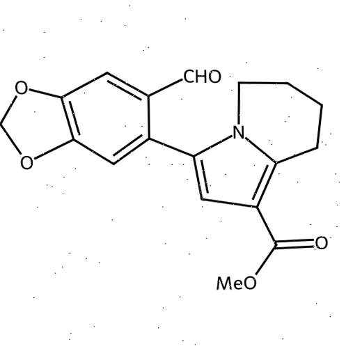 COC(=O)c1cc(-c2cc3c(cc2C=O)OCO3)n2c1CCCC2